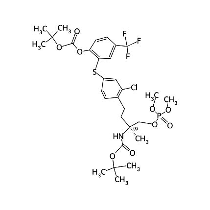 COP(=O)(OC)OC[C@](C)(CCc1ccc(Sc2cc(C(F)(F)F)ccc2OC(=O)OC(C)(C)C)cc1Cl)NC(=O)OC(C)(C)C